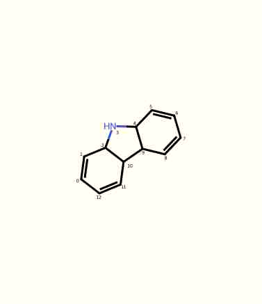 C1=CC2NC3C=CC=CC3C2C=C1